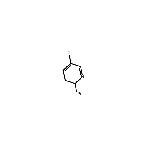 CC(C)C1CC=C(F)C=N1